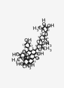 C[C@@H]1O[C@@H](O[C@@H]2C[C@H](c3cc4c(-c5ccc(O)cc5)c(=O)oc5c4c(c3O)C(=O)C3=C5[C@@]4(O[C@H]5CC[C@H](O)[C@@H](C)O5)C(=O)C[C@](C)(O)C[C@@]4(O)C=C3)O[C@H](C)[C@H]2O)CC[C@@H]1O[C@H]1C[C@@H](O)[C@H](O)[C@@H](C)O1